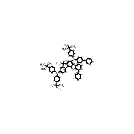 CC(C)(C)c1ccc(N(c2ccc(C(C)(C)C)cc2)c2ccc3c(c2)C(C)(C)c2cc(N(c4ccc(-c5ccccc5)cc4)c4ccc(C(C)(C)C)cc4)c4c(oc5c(-c6ccccc6)cccc54)c2-3)cc1